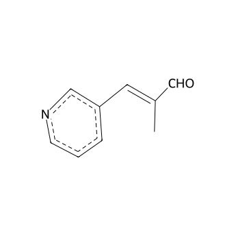 CC(C=O)=Cc1cccnc1